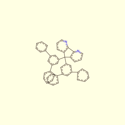 c1ccc(-c2cc(-c3ccccc3)cc(C3(c4cc(-c5ccccc5)cc(-c5ccccc5)c4)c4cccnc4-c4ncccc43)c2)cc1